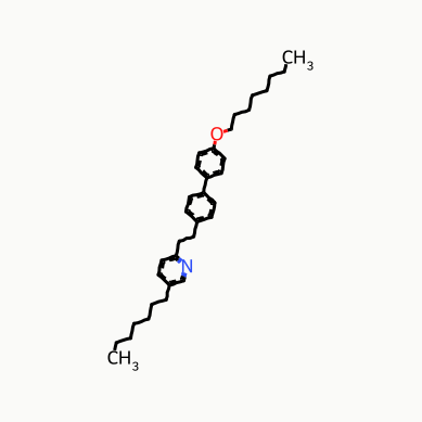 CCCCCCCCOc1ccc(-c2ccc(CCc3ccc(CCCCCCC)cn3)cc2)cc1